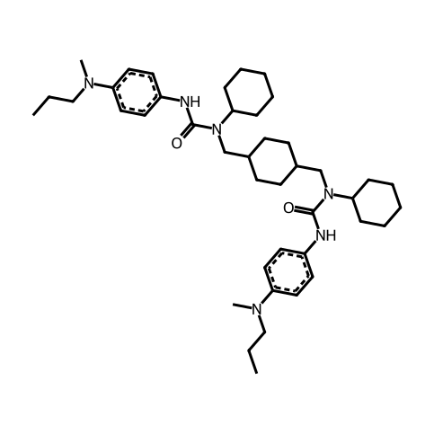 CCCN(C)c1ccc(NC(=O)N(CC2CCC(CN(C(=O)Nc3ccc(N(C)CCC)cc3)C3CCCCC3)CC2)C2CCCCC2)cc1